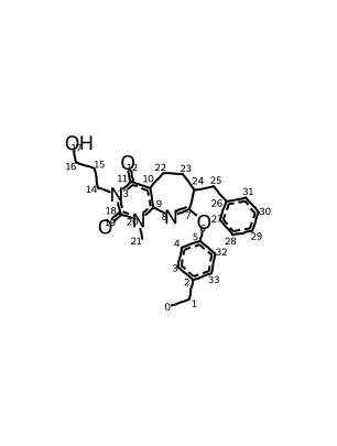 CCc1ccc(OC2=Nc3c(c(=O)n(CCCO)c(=O)n3C)CCC2Cc2ccccc2)cc1